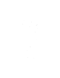 CC1(C)CCc2cc(-c3cccc(F)c3)ccc2C1NC(=O)O